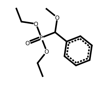 CCOP(=O)(OCC)C(OC)c1ccccc1